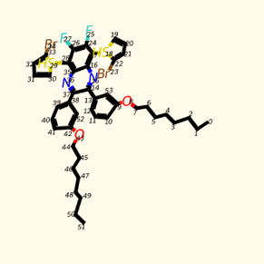 CCCCCCCCOc1cccc(-c2nc3c([SH]4C=CC=C4Br)c(F)c(F)c([SH]4C=CC=C4Br)c3nc2-c2cccc(OCCCCCCCC)c2)c1